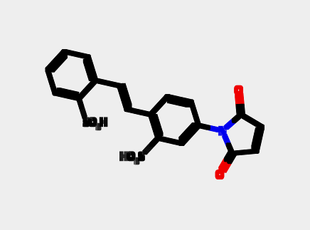 O=C1C=CC(=O)N1c1ccc(C=Cc2ccccc2S(=O)(=O)O)c(S(=O)(=O)O)c1